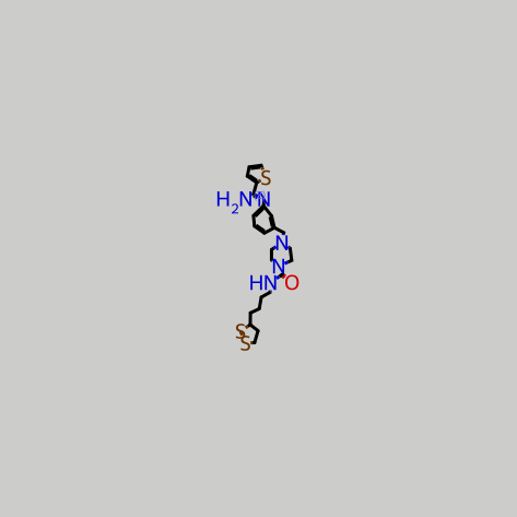 N/C(=N\c1cccc(CN2CCN(C(=O)NCCCCC3CCSS3)CC2)c1)c1cccs1